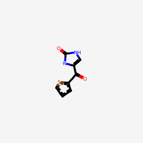 O=C1[N]C(C(=O)c2cccs2)=CN1